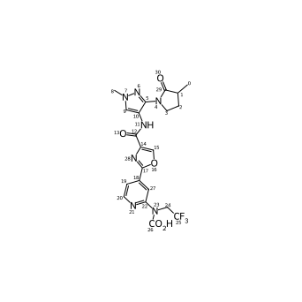 CC1CCN(c2nn(C)cc2NC(=O)c2coc(-c3ccnc(N(CC(F)(F)F)C(=O)O)c3)n2)C1=O